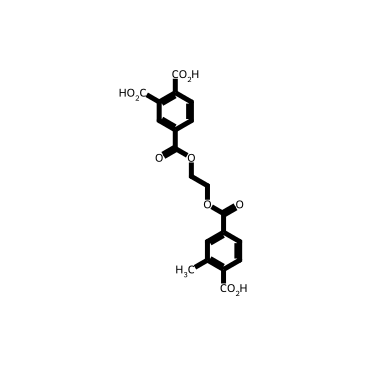 Cc1cc(C(=O)OCCOC(=O)c2ccc(C(=O)O)c(C(=O)O)c2)ccc1C(=O)O